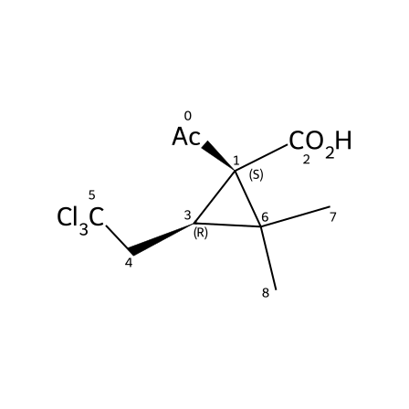 CC(=O)[C@]1(C(=O)O)[C@H](CC(Cl)(Cl)Cl)C1(C)C